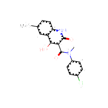 CSc1ccc2[nH]c(=O)c(C(=O)N(C)c3ccc(Cl)cc3)c(O)c2c1